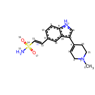 CN1CC=C(c2c[nH]c3ccc(/C=C/S(N)(=O)=O)cc23)CC1